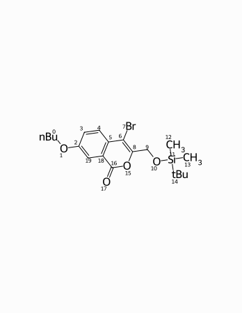 CCCCOc1ccc2c(Br)c(CO[Si](C)(C)C(C)(C)C)oc(=O)c2c1